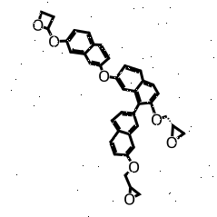 c1cc2ccc(-c3c(OC[C@@H]4CO4)ccc4ccc(Oc5ccc6ccc(OC7CCO7)cc6c5)cc34)cc2cc1OCC1CO1